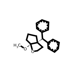 CO[C@]12CCC[C@@]1(C(c1ccccc1)c1ccccc1)CCO2